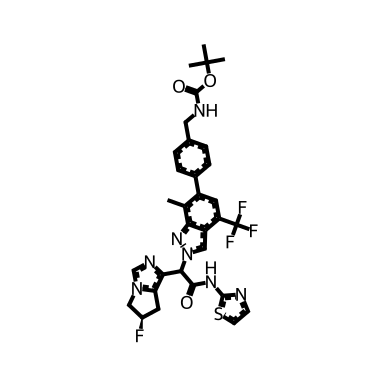 Cc1c(-c2ccc(CNC(=O)OC(C)(C)C)cc2)cc(C(F)(F)F)c2cn(C(C(=O)Nc3nccs3)c3ncn4c3C[C@@H](F)C4)nc12